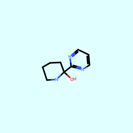 OC1(c2ncccn2)CCCC[N]1